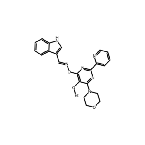 CCOc1c(ON=Cc2c[nH]c3ccccc23)nc(-c2ccccn2)nc1N1CCOCC1